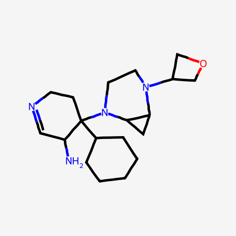 NC1C=NCCC1(C1CCCCC1)N1CCN(C2COC2)C2CC21